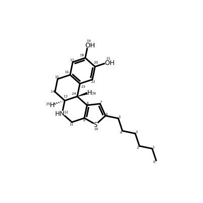 CCCCCCc1cc2c(s1)CN[C@H]1CCc3cc(O)c(O)cc3[C@H]21